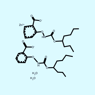 CCCCC(CCC)OC(=O)NOc1ccccc1C(=O)[O-].CCCCC(CCC)OC(=O)NOc1ccccc1C(=O)[O-].O.O.[Zn+2]